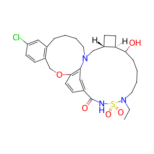 CCN1CCCCC(O)[C@@H]2CC[C@H]2CN2CCCCc3cc(Cl)ccc3COc3ccc(cc32)C(=O)NS1(=O)=O